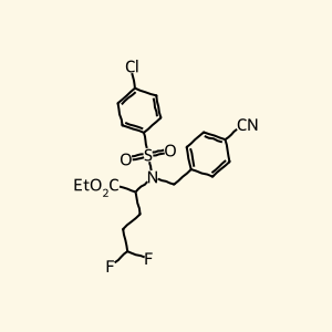 CCOC(=O)C(CCC(F)F)N(Cc1ccc(C#N)cc1)S(=O)(=O)c1ccc(Cl)cc1